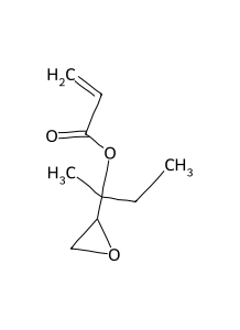 C=CC(=O)OC(C)(CC)C1CO1